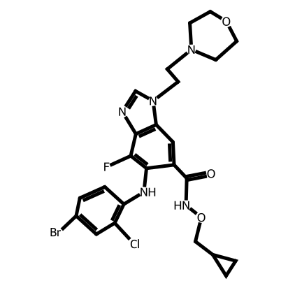 O=C(NOCC1CC1)c1cc2c(ncn2CCN2CCOCC2)c(F)c1Nc1ccc(Br)cc1Cl